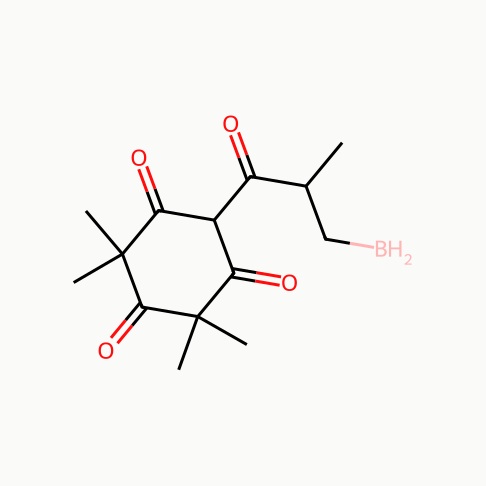 BCC(C)C(=O)C1C(=O)C(C)(C)C(=O)C(C)(C)C1=O